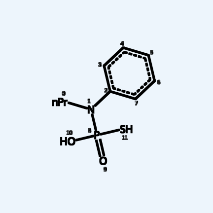 CCCN(c1ccccc1)P(=O)(O)S